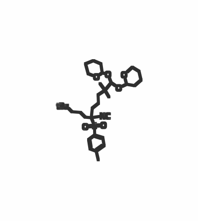 [C-]#[N+]C(CCCC(C)(C)C)(CCCC(C)(C)C(OC1CCCCO1)OC1CCCCO1)S(=O)(=O)c1ccc(C)cc1